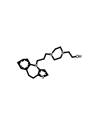 OCCN1CCN(CCCN2c3ccccc3CCc3sccc32)CC1